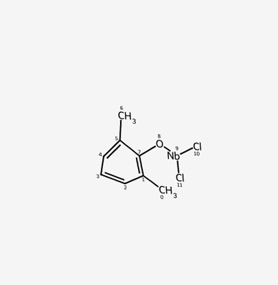 Cc1cccc(C)c1[O][Nb]([Cl])[Cl]